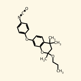 CCCOC1(C)CC(C)(C)c2ccc(Oc3ccc(N=C=O)cc3)cc2O1